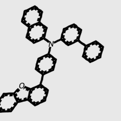 c1ccc(-c2cccc(N(c3ccc(-c4cccc5c4oc4ccccc45)cc3)c3ccc4ccccc4c3)c2)cc1